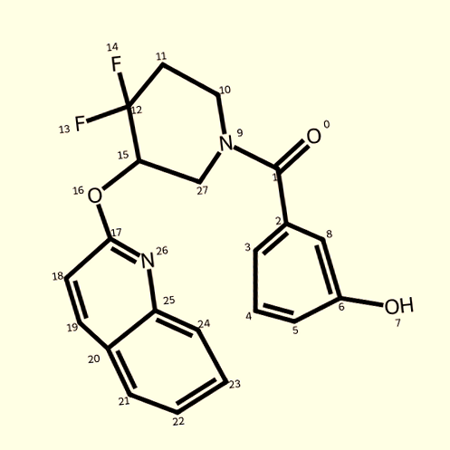 O=C(c1cccc(O)c1)N1CCC(F)(F)C(Oc2ccc3ccccc3n2)C1